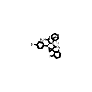 NC(=O)[C@H](Cc1ccc(Br)cc1)N(C(=O)C1(c2c(F)cccc2F)CC1)[C@@H]1CN2CCC1CC2